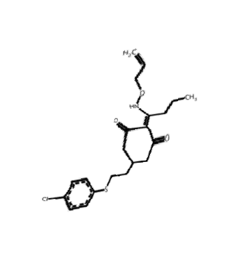 C=CCONC(CCC)=C1C(=O)CC(CCSc2ccc(Cl)cc2)CC1=O